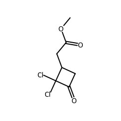 COC(=O)CC1CC(=O)C1(Cl)Cl